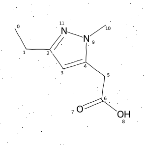 CCc1cc(CC(=O)O)n(C)n1